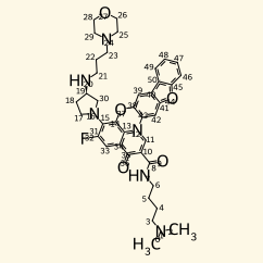 CN(C)CCCCNC(=O)c1cn2c3c(c(N4CC[C@@H](NCCCN5CCOCC5)C4)c(F)cc3c1=O)Oc1cc3c(cc1-2)oc1ccccc13